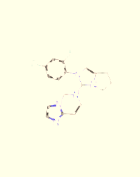 Fc1ccc(N2C=C3CCCN3C2N2C=Cc3nccn3C2)c(F)c1